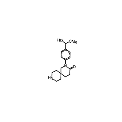 COC(O)c1ccc(N2CC3(CCNCC3)CCC2=O)cc1